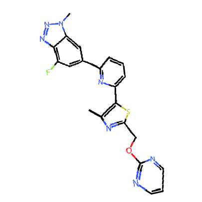 Cc1nc(COc2ncccn2)sc1-c1cccc(-c2cc(F)c3nnn(C)c3c2)n1